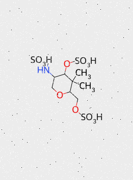 CC1(C)C(COS(=O)(=O)O)OCC(NS(=O)(=O)O)C1OS(=O)(=O)O